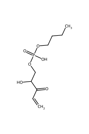 C=CC(=O)C(O)COP(=O)(O)OCCCC